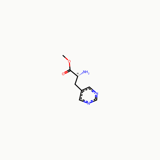 COC(=O)[C@H](N)Cc1cncnc1